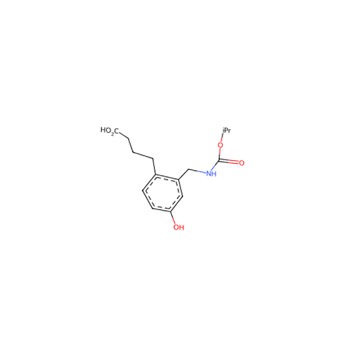 CC(C)OC(=O)NCc1cc(O)ccc1CCCC(=O)O